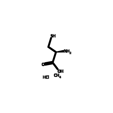 C.Cl.N[C@H](CS)C(=O)O